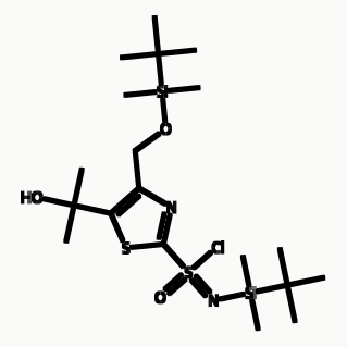 CC(C)(O)c1sc(S(=O)(Cl)=N[Si](C)(C)C(C)(C)C)nc1CO[Si](C)(C)C(C)(C)C